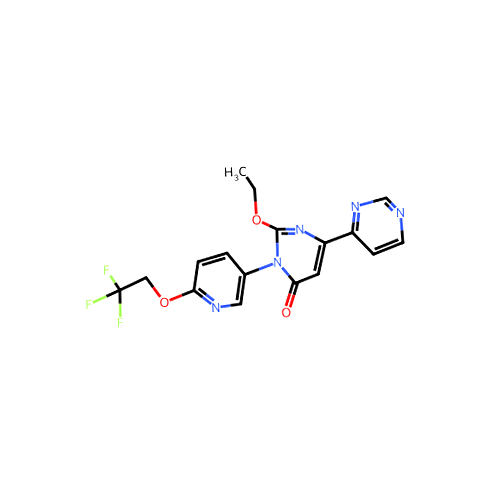 CCOc1nc(-c2ccncn2)cc(=O)n1-c1ccc(OCC(F)(F)F)nc1